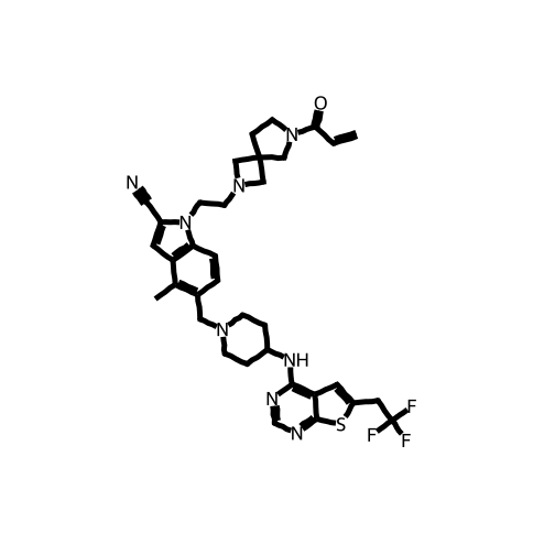 C=CC(=O)N1CCC2(CN(CCn3c(C#N)cc4c(C)c(CN5CCC(Nc6ncnc7sc(CC(F)(F)F)cc67)CC5)ccc43)C2)C1